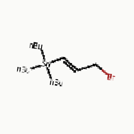 CCC[CH2][Sn]([CH]=CCBr)([CH2]CCC)[CH2]CCC